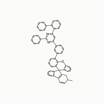 CC1C=CC2=C(C1)C1(c3ccccc3Oc3c(-c4cccc(-c5cc(-c6ccccc6-c6ccccc6)nc(-c6ccccc6)n5)c4)cccc31)c1ccccc12